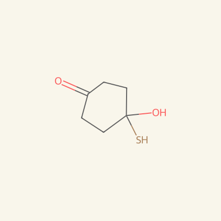 O=C1CCC(O)(S)CC1